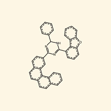 c1ccc(C2N=C(c3ccc4ccc5ccc6ccccc6c5c4c3)N=C(c3cccc4oc5ccccc5c34)N2)cc1